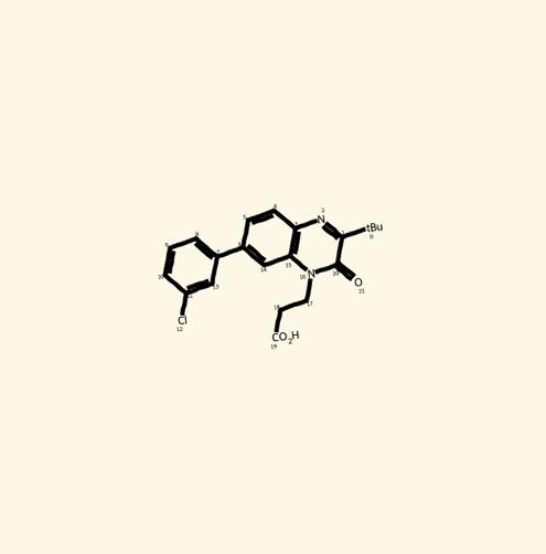 CC(C)(C)c1nc2ccc(-c3cccc(Cl)c3)cc2n(CCC(=O)O)c1=O